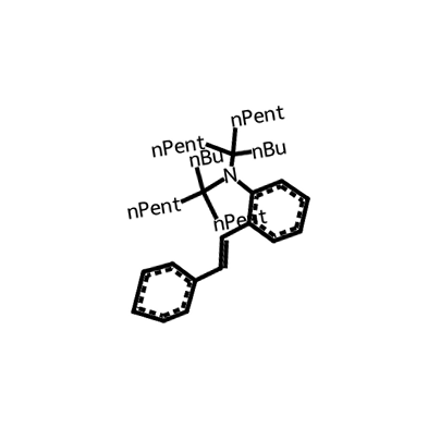 CCCCCC(CCCC)(CCCCC)N(c1ccccc1C=Cc1ccccc1)C(CCCC)(CCCCC)CCCCC